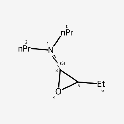 CCCN(CCC)[C@H]1OC1CC